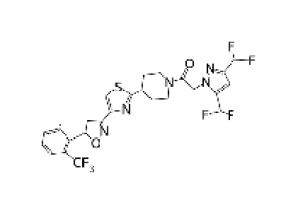 O=C(Cn1nc(C(F)F)cc1C(F)F)N1CCC(c2nc(C3=NOC(c4[c]cccc4C(F)(F)F)C3)cs2)CC1